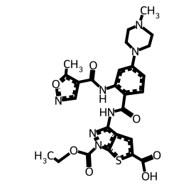 CCOC(=O)n1nc(NC(=O)c2ccc(N3CCN(C)CC3)cc2NC(=O)c2cnoc2C)c2cc(C(=O)O)sc21